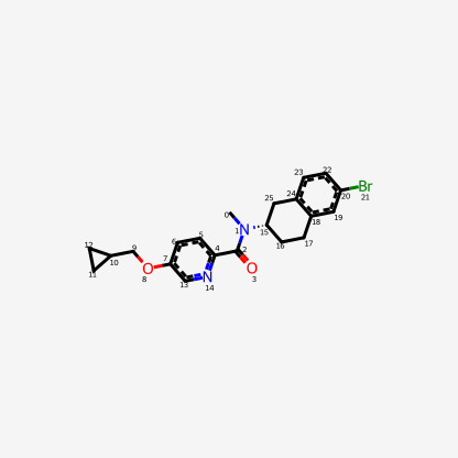 CN(C(=O)c1ccc(OCC2CC2)cn1)[C@H]1CCc2cc(Br)ccc2C1